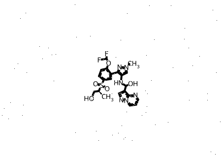 C[C@@H](CO)S(=O)(=O)c1ccc(OC(F)F)c(-c2nn(C)cc2NC(O)c2cnn3cccnc23)c1